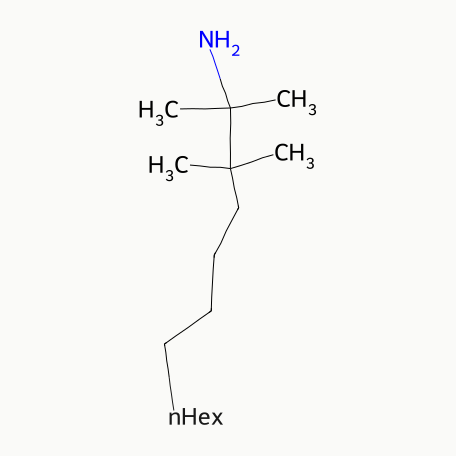 CCCCCCCCCCC(C)(C)C(C)(C)N